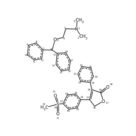 CN(C)CCOC(c1ccccc1)c1ccccc1.CS(=O)(=O)c1ccc(C2=C(c3ccccc3)C(=O)OC2)cc1